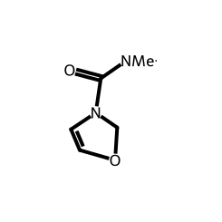 C[N]C(=O)N1C=COC1